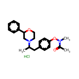 CC(=O)N(C)Oc1ccc(CC(C)N2CCOC(c3ccccc3)C2)cc1.Cl